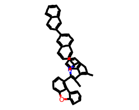 CC1=C(c2cccc3oc4ccccc4c23)/N=C(/c2ccc3cc(-c4ccc5ccccc5c4)ccc3c2)CC\C(C)=C\1c1ccccc1